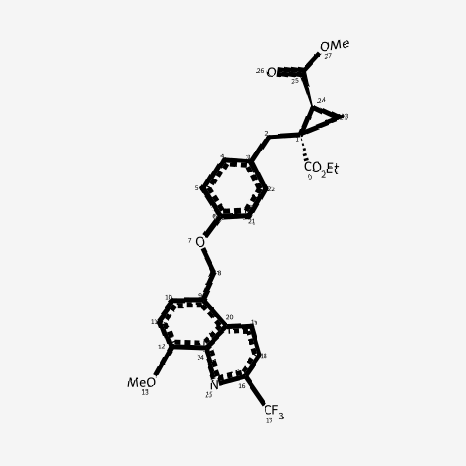 CCOC(=O)[C@@]1(Cc2ccc(OCc3ccc(OC)c4nc(C(F)(F)F)ccc34)cc2)C[C@@H]1C(=O)OC